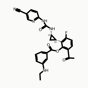 CCNc1cccc(C(=O)Oc2c(C(C)=O)ccc(F)c2[C@@H]2C[C@@H]2NC(=O)Nc2ccc(C#N)cn2)c1